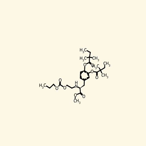 CCCOC(=O)OCCN[C@@H](Cc1ccc(OC(=O)C(C)(C)CC)c(OC(=O)C(C)(C)CC)c1)C(=O)OC